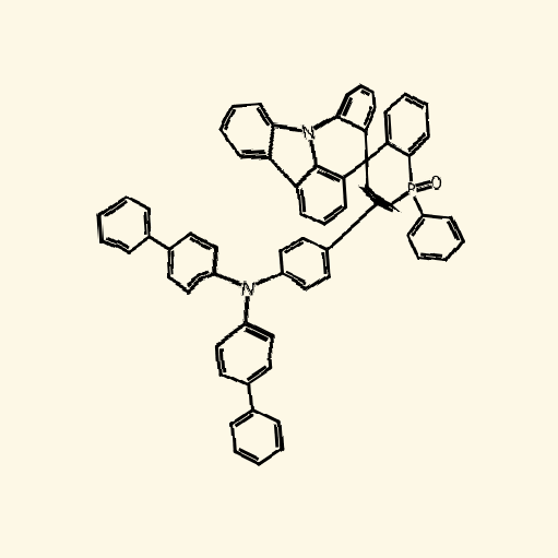 O=P1(c2ccccc2)c2ccccc2C2(c3ccccc3-n3c4ccccc4c4cccc2c43)c2cc(-c3ccc(N(c4ccc(-c5ccccc5)cc4)c4ccc(-c5ccccc5)cc4)cc3)ccc21